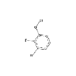 CCOc1[c]ccc(Br)c1F